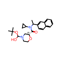 CC(c1ccc2ccccc2c1)N(C(=O)[C@H]1CN(C(O)OC(C)(C)C)CCO1)C1CC1